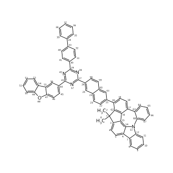 CC1(C)c2ccc3c4ccccc4n4c3c2-c2c(ccc(-c3ccc5cc(-c6nc(-c7ccc(-c8ccccc8)cc7)nc(-c7ccc8oc9ccccc9c8c7)n6)ccc5c3)c21)-c1ccccc1-4